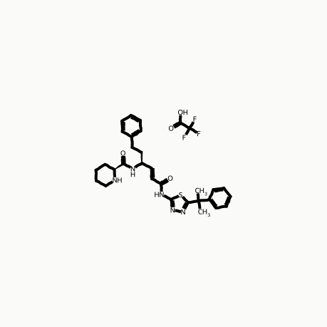 CC(C)(c1ccccc1)c1nnc(NC(=O)C=C[C@H](CCc2ccccc2)NC(=O)[C@@H]2CCCCN2)s1.O=C(O)C(F)(F)F